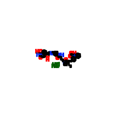 CN(CCCCC(=O)Nc1ccc(CNC[C@@H](O)c2ccc(O)c3[nH]c(=O)ccc23)cc1)C(=O)CCCc1ccc(-c2ccccc2)c(NC(=O)O)c1.Cl.Cl